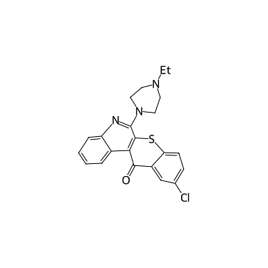 CCN1CCN(c2nc3ccccc3c3c(=O)c4cc(Cl)ccc4sc23)CC1